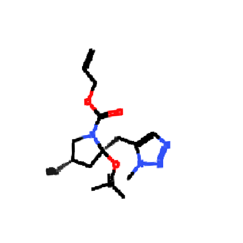 C=CCOC(=O)N1C[C@@H](C(C)(C)C)C[C@]1(Cc1cnnn1C)O[SiH](C)C